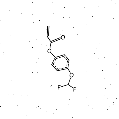 C=CC(=O)Oc1ccc(OC(F)F)cc1